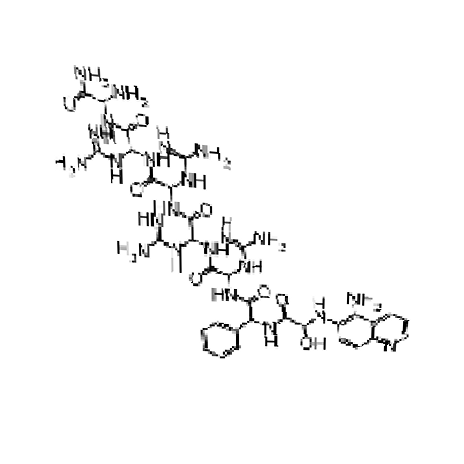 N=C(N)NC(NC(=O)C(NC(=N)N)NC(=O)C(NC(=N)N)NC(=O)C(NC(=N)N)NC(=O)C(NC(=O)C(O)Nc1ccc2ncccc2c1N)c1ccccc1)C(=O)NC(N)C(N)=O